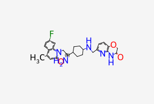 Cc1cc(=O)n(C[C@H](N)C2CCC(NCc3ccc4c(n3)NC(=O)CO4)CC2)c2cc(F)ccc12